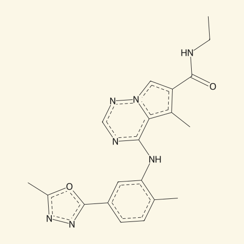 CCNC(=O)c1cn2ncnc(Nc3cc(-c4nnc(C)o4)ccc3C)c2c1C